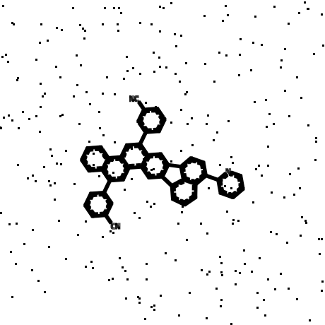 N#Cc1cccc(-c2cc3c4cc5c(cc4c(-c4cccc(C#N)c4)cc3c3ccccc23)-c2ccc(-c3ccccn3)c3cccc-5c23)c1